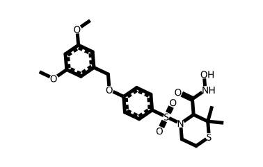 COc1cc(COc2ccc(S(=O)(=O)N3CCSC(C)(C)C3C(=O)NO)cc2)cc(OC)c1